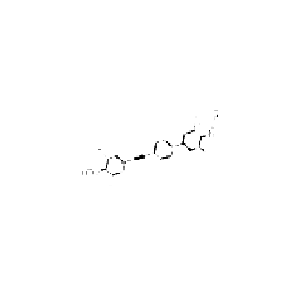 CCCCc1c(F)cc(C#Cc2ccc(-c3cc(F)c(N=C=S)c(Cl)c3)cc2)cc1F